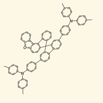 Cc1ccc(N(c2ccc(C)cc2)c2ccc(-c3ccc4c(c3)C3(c5cc(-c6ccc(N(c7ccc(C)cc7)c7ccc(C)cc7)cc6)ccc5-4)c4ccccc4-c4c3ccc3oc5ccccc5c43)cc2)cc1